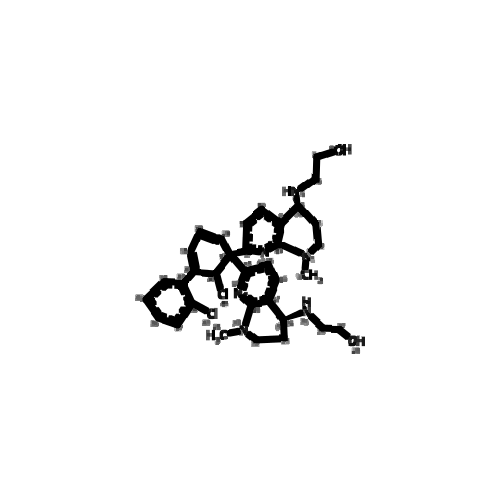 CN1CC[C@H](NCCO)c2ccc(C3(c4ccc5c(n4)N(C)CC[C@@H]5NCCO)C=CC=C(c4ccccc4Cl)C3Cl)nc21